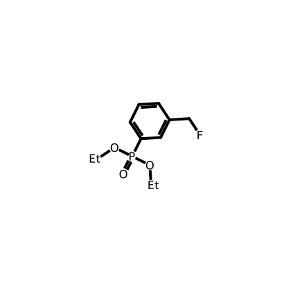 CCOP(=O)(OCC)c1cccc(CF)c1